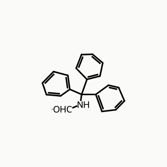 O=[C]NC(c1ccccc1)(c1ccccc1)c1ccccc1